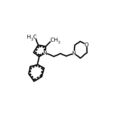 Cc1cc(-c2ccccc2)n(CCCN2CCOCC2)c1C